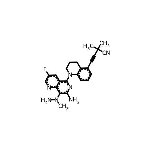 CN(N)c1c(N)nc(N2CCCc3c(C#CC(C)(C)C#N)cccc32)c2cc(F)cnc12